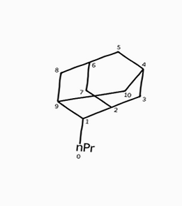 [CH2]CCC1C2CC3CC(C2)CC1C3